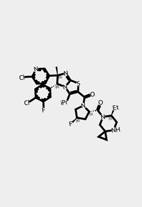 CC[C@H]1CNC2(CC2)CN1C(=O)[C@@H]1C[C@@H](F)CN1C(=O)C1=C(C(C)C)N2C(=N[C@@](C)(c3ccc(Cl)nc3)[C@H]2c2ccc(Cl)c(F)c2)S1